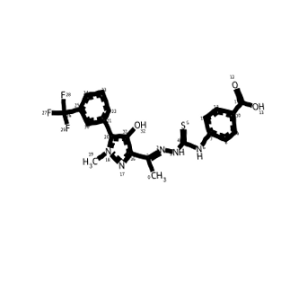 C/C(=N\NC(=S)Nc1ccc(C(=O)O)cc1)c1nn(C)c(-c2cccc(C(F)(F)F)c2)c1O